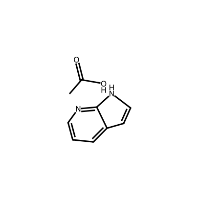 CC(=O)O.c1cnc2[nH]ccc2c1